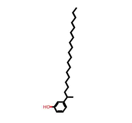 CCCCCCCCCCCCCCCCCCC(C)c1cccc(O)c1